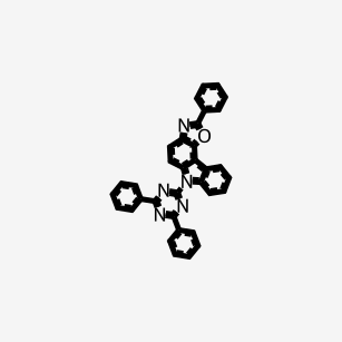 c1ccc(-c2nc(-c3ccccc3)nc(-n3c4ccccc4c4c5oc(-c6ccccc6)nc5ccc43)n2)cc1